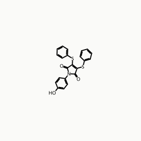 O=C1C(Sc2ccccc2)=C(Sc2ccccc2)C(=O)N1c1ccc(O)cc1